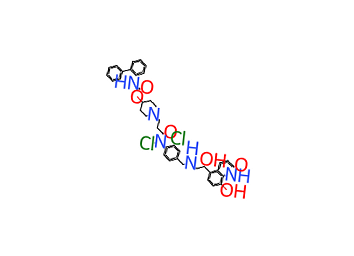 O=C(Nc1ccccc1-c1ccccc1)OC1CCN(CCC(=O)N(Cl)c2ccc(CNCC(O)c3ccc(O)c4[nH]c(=O)ccc34)cc2Cl)CC1